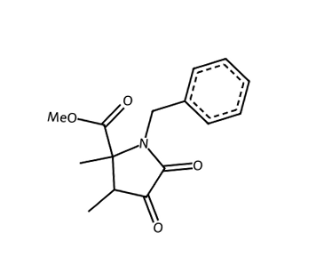 COC(=O)C1(C)C(C)C(=O)C(=O)N1Cc1ccccc1